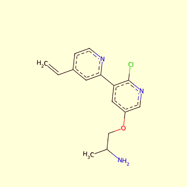 C=Cc1ccnc(-c2cc(OCC(C)N)cnc2Cl)c1